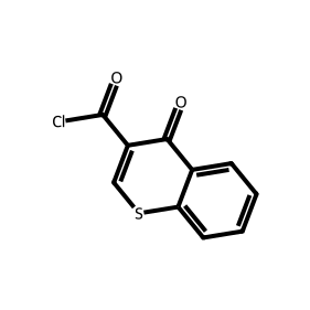 O=C(Cl)c1csc2ccccc2c1=O